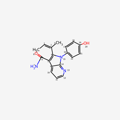 C/C=C(/C)c1c(C(N)=O)c2cccnc2n1-c1ccc(O)cc1